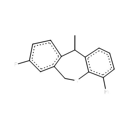 CC1c2ccc(F)cc2CSc2c(Br)cccc21